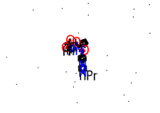 CCCN1CCN(c2ccc(C(=O)N[C@H](C(=O)N3C[C@@H](C)[C@H]4OCC(=O)[C@H]43)C3CCCC3)cc2)CC1